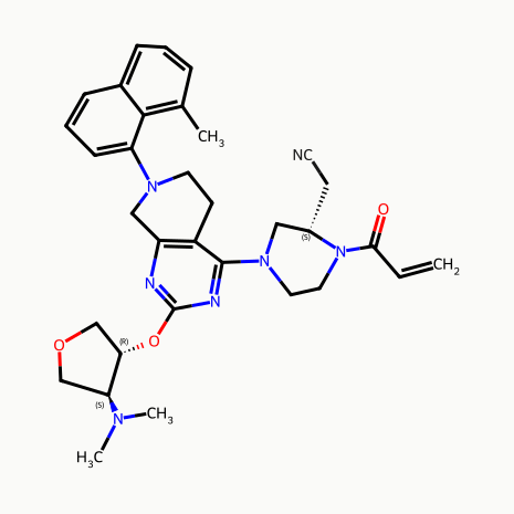 C=CC(=O)N1CCN(c2nc(O[C@H]3COC[C@@H]3N(C)C)nc3c2CCN(c2cccc4cccc(C)c24)C3)C[C@@H]1CC#N